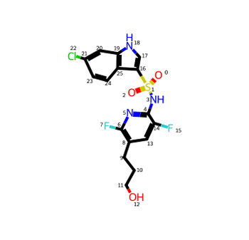 O=S(=O)(Nc1nc(F)c(CCCO)cc1F)c1c[nH]c2cc(Cl)ccc12